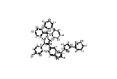 Fc1ccc(-c2nn(C(c3ccccc3)(c3ccccc3)C3C=CC=CC3)cc2-c2ccc3ncc(-c4ccc(-c5ccccn5)s4)n3c2)cc1